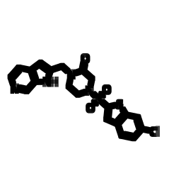 O=C1CN(S(=O)(=O)c2cc3ccc(Cl)cc3s2)CCN1Cc1cc2ccncc2[nH]1